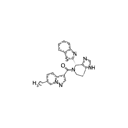 Cc1ccc2c(C(=O)N3CCc4[nH]cnc4[C@H]3c3nc4ccccc4s3)cnn2c1